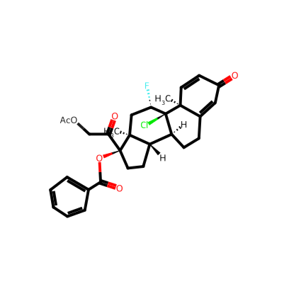 CC(=O)OCC(=O)[C@@]1(OC(=O)c2ccccc2)CC[C@H]2[C@@H]3CCC4=CC(=O)C=C[C@]4(C)[C@@]3(Cl)[C@@H](F)C[C@@]21C